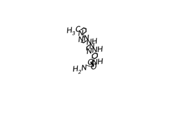 Cc1cccc(-c2nccc(Nc3ccnc(Nc4ccc(NS(=O)(=O)CCN)cc4)n3)n2)n1